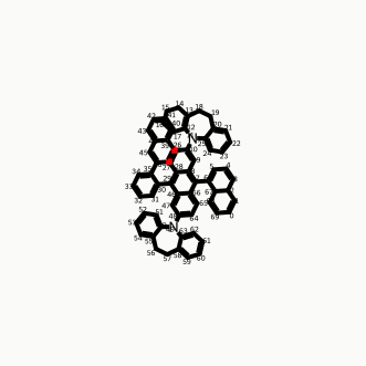 C1=CC2C=CC=C(c3c4cc(N5C6=C(CCC=C6)CCc6ccccc65)ccc4c(-c4ccccc4-c4ccc5ccccc5c4)c4cc(N5c6ccccc6CCc6ccccc65)ccc34)C2C=C1